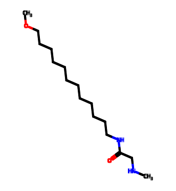 CNCC(=O)NCCCCCCCCCCCCOC